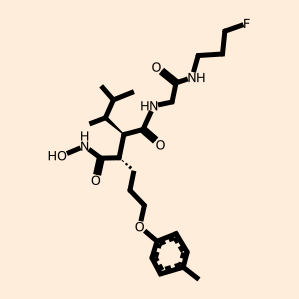 Cc1ccc(OCCC[C@H](C(=O)NO)[C@H](C(=O)NCC(=O)NCCCF)C(C)C(C)C)cc1